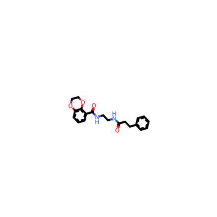 O=C(CCc1ccccc1)NCCNC(=O)c1cccc2c1OCCO2